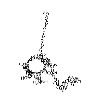 CCOCCOCCOCCOCCOCCOCCOCCOCCC(=O)N[C@@H](Cc1cn(CCOCCOCCOCCNC(=O)CC[C@H](NC(=O)c2ccc(NCc3cnc4nc(N)[nH]c(=O)c4n3)cc2)C(=O)O)nn1)C(=O)N[C@H]1Cc2cn(nn2)CCCC[C@@H](C(N)=O)NC(=O)[C@@H]([C@H](C)O)NC(=O)[C@@H](Cc2ccc(O)cc2)NC(=O)[C@@H](CCCNC(=N)N)NC(=O)[C@@H](CCC(=O)O)NC(=O)[C@@H](CC(=O)O)NC1=O